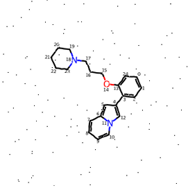 c1ccc(-c2cc3ccccn3c2)c(OCCCN2CCCCC2)c1